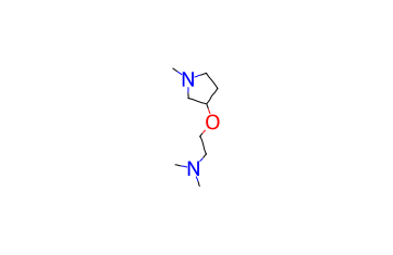 CN(C)CCOC1CCN(C)C1